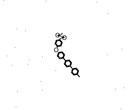 Cc1ccc(-c2ccc(-c3ccc(Oc4ccc(S(C)(=O)=O)cc4)cc3)cc2)cc1